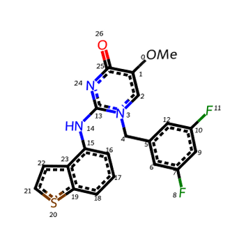 COc1cn(Cc2cc(F)cc(F)c2)c(Nc2cccc3sccc23)nc1=O